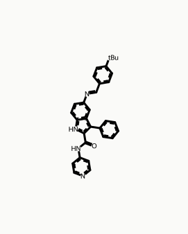 CC(C)(C)c1ccc(C=Nc2ccc3[nH]c(C(=O)Nc4ccncc4)c(-c4ccccc4)c3c2)cc1